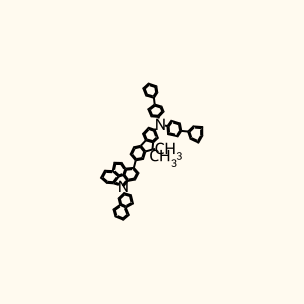 CC1(C)c2cc(-c3ccc4c5c3ccc3cccc(c35)n4-c3ccc4ccccc4c3)ccc2-c2ccc(N(c3ccc(-c4ccccc4)cc3)c3ccc(-c4ccccc4)cc3)cc21